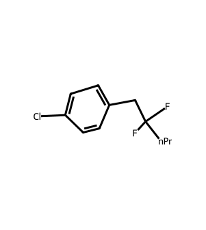 [CH2]CCC(F)(F)Cc1ccc(Cl)cc1